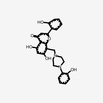 O=c1cc(-c2ccccc2O)oc2c(CN3CCN(c4ccccc4O)CC3)c(O)cc(O)c12